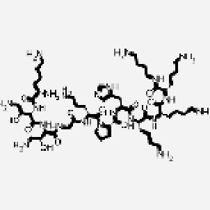 NCCCCNC(=O)[C@H](CCCCN)NC(=O)[C@@H](CCCCN)NC(=O)[C@H](CCCCN)NC(=O)[C@H](Cc1cnc[nH]1)NC(=O)[C@@H]1CCCN1C(=O)[C@@H](CCCN)NC(=O)CNC(=O)[C@@H](NC(=O)[C@@H](NC(=O)[C@@H](N)CCCCN)[C@@H](O)CN)[C@@H](O)CN